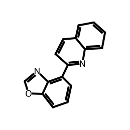 c1ccc2nc(-c3cccc4ocnc34)ccc2c1